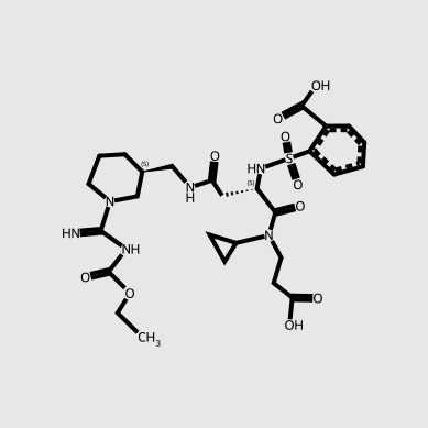 CCOC(=O)NC(=N)N1CCC[C@@H](CNC(=O)C[C@H](NS(=O)(=O)c2ccccc2C(=O)O)C(=O)N(CCC(=O)O)C2CC2)C1